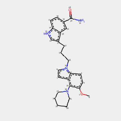 COc1ccc2c(ccn2CCCc2c[nH]c3ccc(C(N)=O)cc23)c1N1CCCCC1